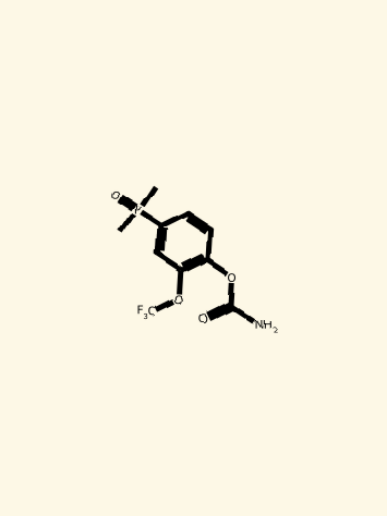 CP(C)(=O)c1ccc(OC(N)=O)c(OC(F)(F)F)c1